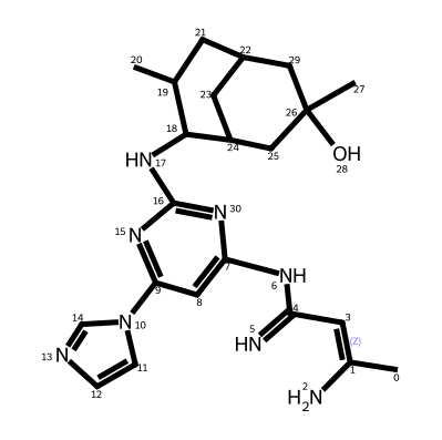 C/C(N)=C/C(=N)Nc1cc(-n2ccnc2)nc(NC2C(C)CC3CC2CC(C)(O)C3)n1